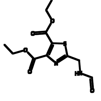 CCOC(=O)c1nc(CNC=O)sc1C(=O)OCC